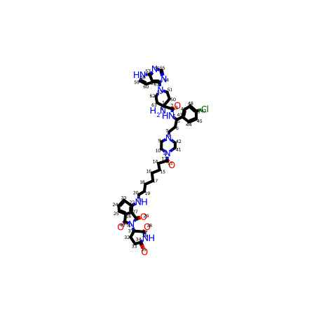 NC1(C(=O)NC(CCN2CCN(C(=O)CCCCCCCNc3cccc4c3C(=O)N(C3CCC(=O)NC3=O)C4=O)CC2)c2ccc(Cl)cc2)CCN(c2ncnc3[nH]ccc23)CC1